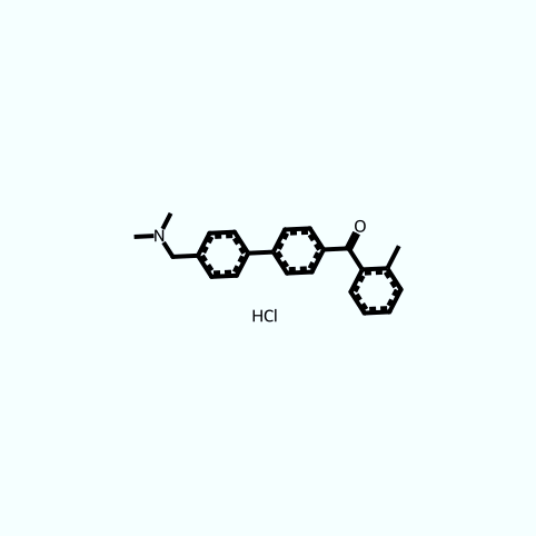 Cc1ccccc1C(=O)c1ccc(-c2ccc(CN(C)C)cc2)cc1.Cl